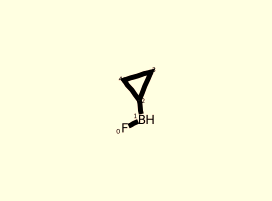 FBC1CC1